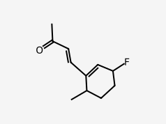 CC(=O)C=CC1=CC(F)CCC1C